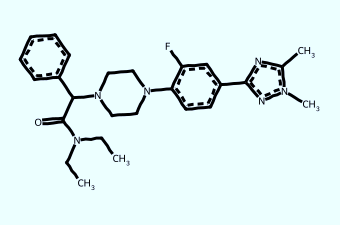 CCN(CC)C(=O)C(c1ccccc1)N1CCN(c2ccc(-c3nc(C)n(C)n3)cc2F)CC1